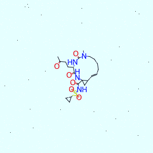 CC(=O)CCC1NC(=O)N(C)CCCC/C=C/C2CC2(C(=O)NS(=O)(=O)C2CC2)NC1=O